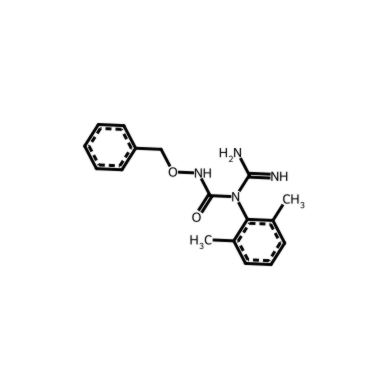 Cc1cccc(C)c1N(C(=N)N)C(=O)NOCc1ccccc1